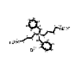 CCCCCCCCCCCCCC[P+](CCCCCCCCCCCCCC)(Cc1ccccc1)Cc1ccccc1.[Br-]